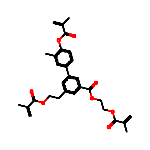 C=C(C)C(=O)OCCOC(=O)c1cc(CCOC(=O)C(=C)C)cc(-c2ccc(OC(=O)C(=C)C)c(C)c2)c1